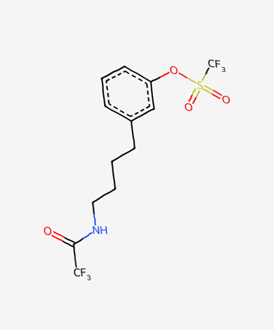 O=C(NCCCCc1cccc(OS(=O)(=O)C(F)(F)F)c1)C(F)(F)F